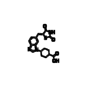 O=C1NC(=O)C(=Cc2ccc3ncn(C4CCC(C(=O)O)CC4)c3c2)S1